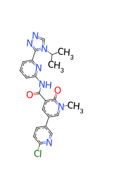 CC(C)n1cnnc1-c1cccc(NC(=O)c2cc(-c3ccc(Cl)nc3)cn(C)c2=O)n1